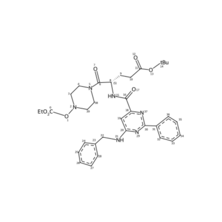 CCOC(=O)ON1CCN(C(=O)[C@H](CCC(=O)OC(C)(C)C)NC(=O)c2cc(NCc3ccccc3)nc(-c3ccccc3)n2)CC1